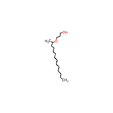 CCCCCCCCCCCCC(C)OCCCO